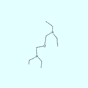 CCN(CC)COCN(CC)CC